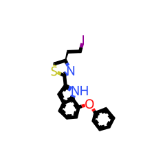 ICC[C@@H]1CSC(c2cc3cccc(Oc4ccccc4)c3[nH]2)=N1